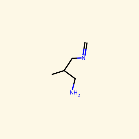 C=NCC(C)CN